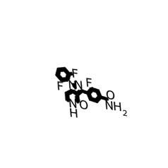 NC(=O)c1ccc(-c2nn(-c3c(F)cccc3F)c3cc[nH]c(=O)c23)c(F)c1